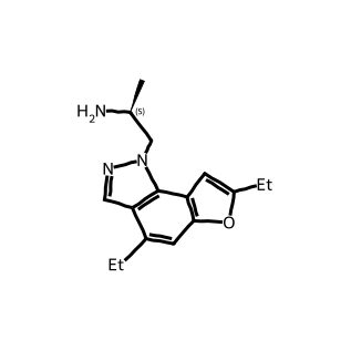 CCc1cc2c(cc(CC)c3cnn(C[C@H](C)N)c32)o1